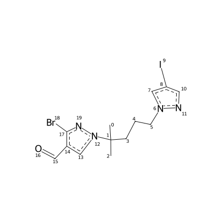 CC(C)(CCCn1cc(I)cn1)n1cc(C=O)c(Br)n1